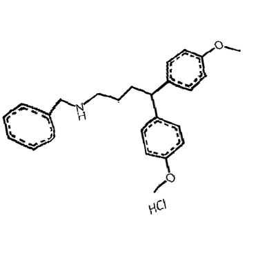 COc1ccc(C(C[CH]CNCc2ccccc2)c2ccc(OC)cc2)cc1.Cl